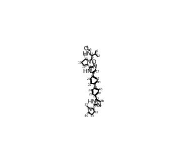 CC(C)C(NC=O)C(=O)N1[C@@H](C)CC[C@H]1c1ncc(-c2ccc(-c3ccc(-c4cnc([C@@H]5CC[C@H](C)N5C)[nH]4)cc3)cc2)[nH]1